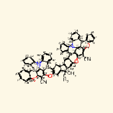 CC1(C)c2cc3c(cc2-c2cc4c(cc21)Oc1c(C#N)c2c5c6c1B4c1ccccc1N6c1ccccc1B5c1ccccc1O2)B1c2ccccc2N2c4ccccc4B4c5ccccc5Oc5c(C#N)c(c1c2c54)O3